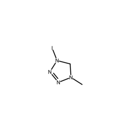 CN1CN(I)N=N1